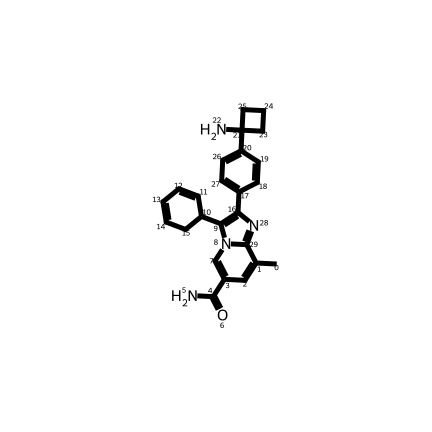 Cc1cc(C(N)=O)cn2c(C3C=CC=CC3)c(-c3ccc(C4(N)CCC4)cc3)nc12